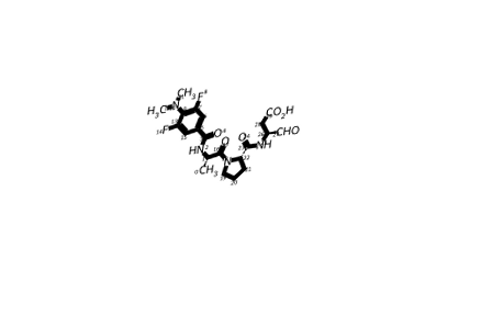 C[C@H](NC(=O)c1cc(F)c(N(C)C)c(F)c1)C(=O)N1CCC[C@H]1C(=O)N[C@H](C=O)CC(=O)O